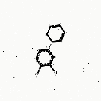 Clc1ccc([C@H]2C=CC=CC2)cc1Cl